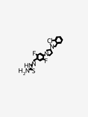 CN(Cc1ccccc1Cl)[C@@H]1CCN(c2cc(F)c(/C=N/NC(N)=S)cc2F)C1